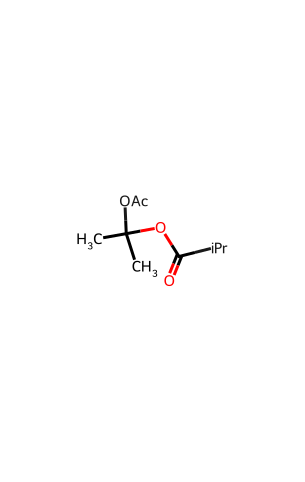 CC(=O)OC(C)(C)OC(=O)C(C)C